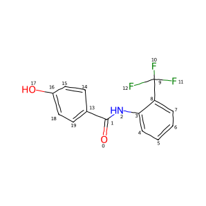 O=C(Nc1ccccc1C(F)(F)F)c1ccc(O)cc1